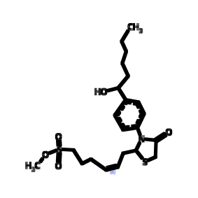 CCCCCC(O)c1ccc(N2C(=O)CSC2C/C=C\CCCS(=O)(=O)OC)cc1